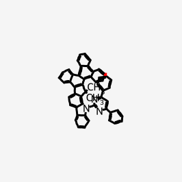 CC1(C)c2c(c3ccccc3c3c4ccccc4c4ccccc4c23)-c2ccc3c4ccccc4n(-c4nc(-c5ccccc5)cc(-c5ccccc5)n4)c3c21